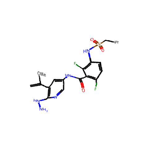 C=C(OC)c1cc(NC(=O)c2c(F)ccc(NS(=O)(=O)CC(C)C)c2F)cnc1NN